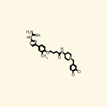 Cc1cc(-c2csc(NC(=N)N)n2)ccc1OCCCC(=O)NC1CCN(Cc2ccc(Cl)c(Cl)c2)CC1